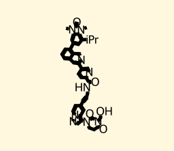 CC(C)c1cc(-c2cccc3cc(-c4ccc(C(=O)NCC#Cc5ccn6ncc(N7CCC(=O)N(CO)C7=O)c6c5)nc4)ncc23)cc2c1n(C)c(=O)n2C